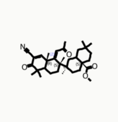 COC(=O)[C@]12CCC(C)(C)CC1C[C@](C)([C@]1(C)CCC3C(C)(C)C(=O)C(C#N)=C[C@]3(C)/C1=C/C(C)=O)CC2